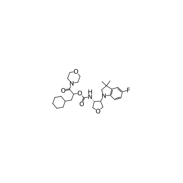 CC1(C)CN(C2COC[C@@H]2NC(=O)OC(CC2CCCCC2)C(=O)N2CCOCC2)c2ccc(F)cc21